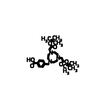 CC(C)(C)OC(=O)CN1CCN(CC(=O)OC(C)(C)C)CCN(Cc2ccc(C(=O)O)cc2)CC1